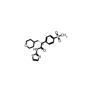 CS(=O)(=O)c1ccc([C@@H](CC2CCOCC2)C(=O)Nc2nccs2)cc1